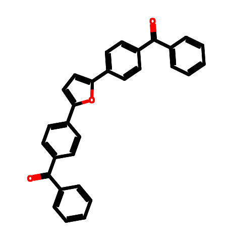 O=C(c1ccccc1)c1ccc(-c2ccc(-c3ccc(C(=O)c4ccccc4)cc3)o2)cc1